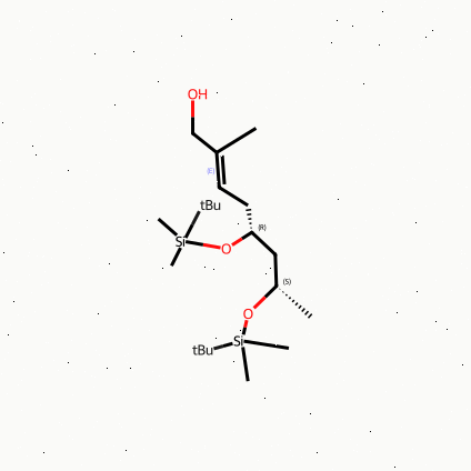 C/C(=C\C[C@H](C[C@H](C)O[Si](C)(C)C(C)(C)C)O[Si](C)(C)C(C)(C)C)CO